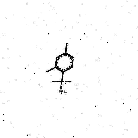 Cc1ccc(C(C)(C)N)c(C)c1